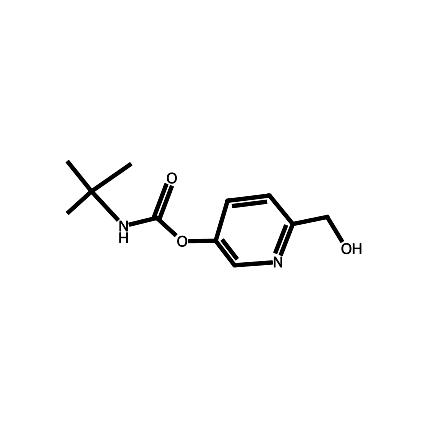 CC(C)(C)NC(=O)Oc1ccc(CO)nc1